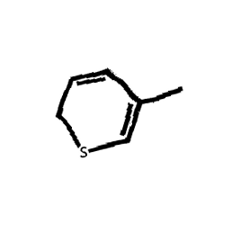 CC1=CSCC=C1